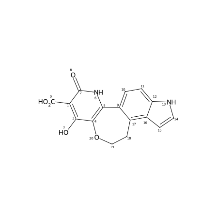 O=C(O)c1c(O)c2c([nH]c1=O)-c1ccc3[nH]ccc3c1CCO2